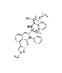 C=Nc1cccnc1/C(N[C@@H](C)c1cc2cccc(-c3cnn(C)c3)c2c(=O)n1-c1ccccc1)=C(\C)C#N